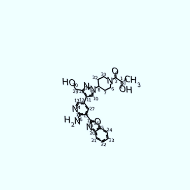 C[C@H](O)C(=O)N1CCC(n2cc(-c3cnc(N)c(-c4nc5ccccc5o4)c3)c(CO)n2)CC1